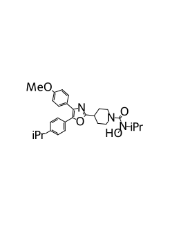 COc1ccc(-c2nc(C3CCN(C(=O)N(O)C(C)C)CC3)oc2-c2ccc(C(C)C)cc2)cc1